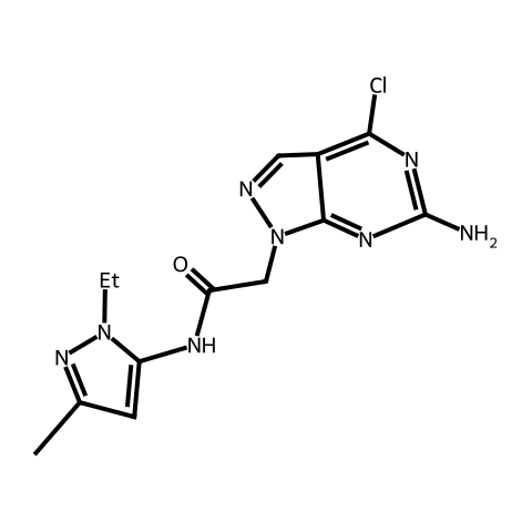 CCn1nc(C)cc1NC(=O)Cn1ncc2c(Cl)nc(N)nc21